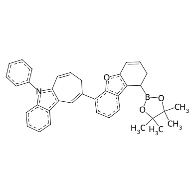 CC1(C)OB(C2CC=Cc3oc4c(C5=Cc6c(n(-c7ccccc7)c7ccccc67)C=CC5)cccc4c32)OC1(C)C